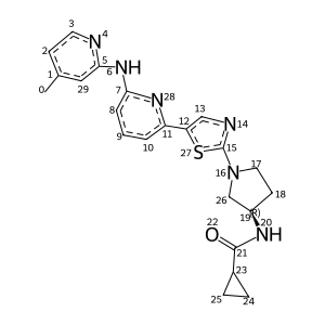 Cc1ccnc(Nc2cccc(-c3cnc(N4CC[C@@H](NC(=O)C5CC5)C4)s3)n2)c1